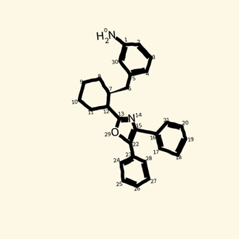 Nc1cccc(C[C@@H]2CCCCC2c2nc(-c3ccccc3)c(-c3ccccc3)o2)c1